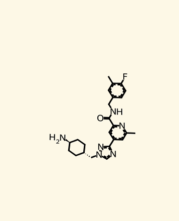 Cc1cc(-c2ncn(C[C@H]3CC[C@H](N)CC3)n2)cc(C(=O)NCc2ccc(F)c(C)c2)n1